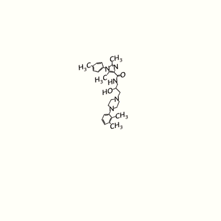 Cc1ccc(-n2c(C)nc(C(=O)NCC(O)CN3CCN(c4cccc(C)c4C)CC3)c2C)cc1